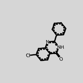 O=c1[nH]c(-c2ccccc2)nc2cc(Cl)ccc12